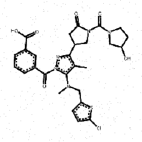 Cc1c(C2CC(=O)N(C(=O)N3CCC(O)C3)C2)nn(C(=O)c2cccc(C(=O)O)c2)c1N(C)Cc1ccc(Cl)s1